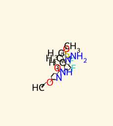 C#CCOc1ccc(C(=O)Nc2cc(F)c(F)c([C@@]3(C)N=C(N)S[C@](C)(COC)C3C)c2)nc1